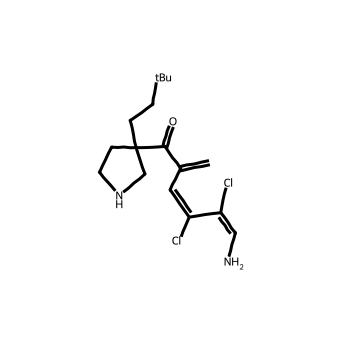 C=C(/C=C(Cl)\C(Cl)=C/N)C(=O)C1(CCC(C)(C)C)CCNC1